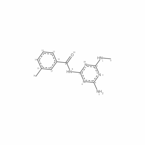 CNc1nc(N)nc(NC(=O)c2cccc(C)c2)n1